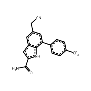 N#CCc1cc(-c2ccc(C(F)(F)F)cc2)c2[nH]c(C(N)=O)cc2c1